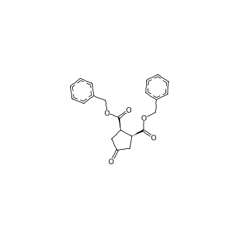 O=C1C[C@H](C(=O)OCc2ccccc2)[C@H](C(=O)OCc2ccccc2)C1